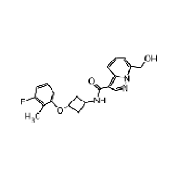 Cc1c(F)cccc1O[C@H]1C[C@H](NC(=O)c2cnn3c(CO)cccc23)C1